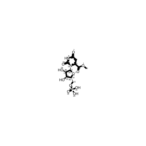 COC(=O)c1cc(=O)[nH]c(=O)n1[C@@H]1O[C@H](COP(=O)(O)O)[C@@H](O)[C@H]1O